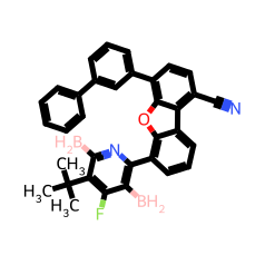 Bc1nc(-c2cccc3c2oc2c(-c4cccc(-c5ccccc5)c4)ccc(C#N)c23)c(B)c(F)c1C(C)(C)C